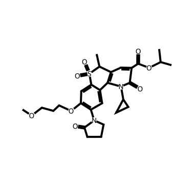 COCCCOc1cc2c(cc1N1CCCC1=O)-c1c(cc(C(=O)OC(C)C)c(=O)n1C1CC1)C(C)S2(=O)=O